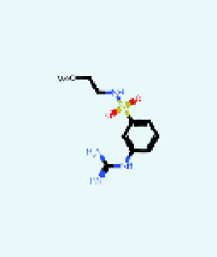 COCCNS(=O)(=O)c1cccc(NC(=N)N)c1